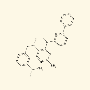 C[C@@H](N)c1cccc(C[C@H](C)c2cnc(N)nc2N(C)c2ccnc(-c3ccccc3)n2)c1